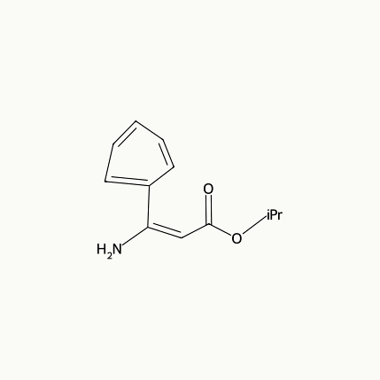 CC(C)OC(=O)/C=C(/N)c1ccccc1